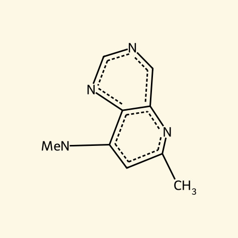 CNc1cc(C)nc2cncnc12